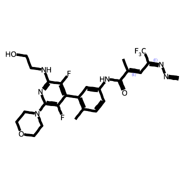 C=N/N=C(\C=C(/C)C(=O)Nc1ccc(C)c(-c2c(F)c(NCCO)nc(N3CCOCC3)c2F)c1)C(F)(F)F